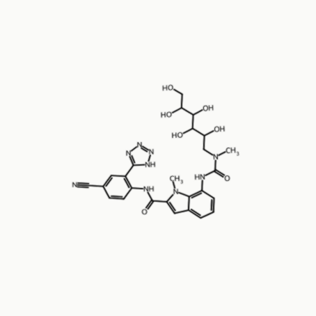 CN(CC(O)C(O)C(O)C(O)CO)C(=O)Nc1cccc2cc(C(=O)Nc3ccc(C#N)cc3-c3nnn[nH]3)n(C)c12